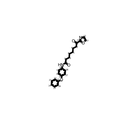 O=C(CCCCCCC(=O)c1ncco1)Nc1ccc(Oc2ccccc2)cc1